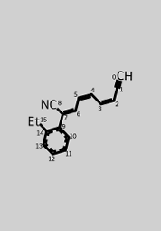 C#C\C=C/C=C\C=C(/C#N)c1ccccc1CC